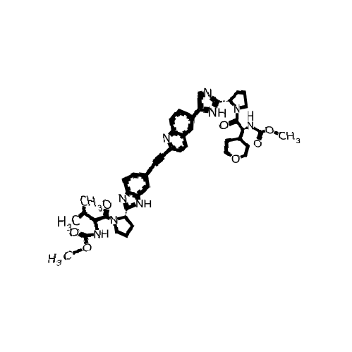 COC(=O)NC(C(=O)N1CCC[C@H]1c1nc2ccc(C#Cc3ccc4cc(-c5cnc([C@@H]6CCCN6C(=O)[C@@H](NC(=O)OC)C6CCOCC6)[nH]5)ccc4n3)cc2[nH]1)C(C)C